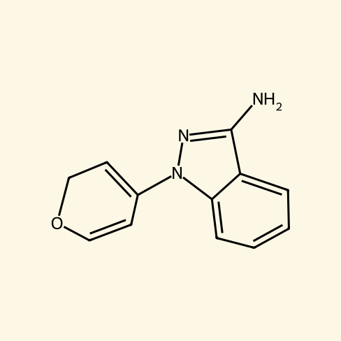 Nc1nn(C2=CCOC=C2)c2ccccc12